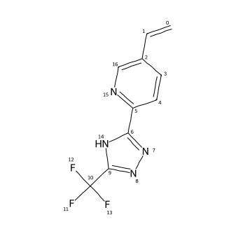 C=Cc1ccc(-c2nnc(C(F)(F)F)[nH]2)nc1